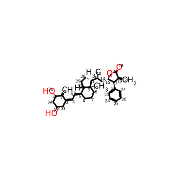 C=C1/C(=C\C=C2/CCC[C@]3(C)[C@@H]([C@H](C)C[C@@H]4OC(=O)C(=C)[C@H]4c4ccccc4)CC[C@@H]23)C[C@@H](O)C[C@@H]1O